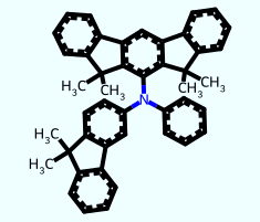 CC1(C)c2ccccc2-c2cc(N(c3ccccc3)c3c4c(cc5c3C(C)(C)c3ccccc3-5)-c3ccccc3C4(C)C)ccc21